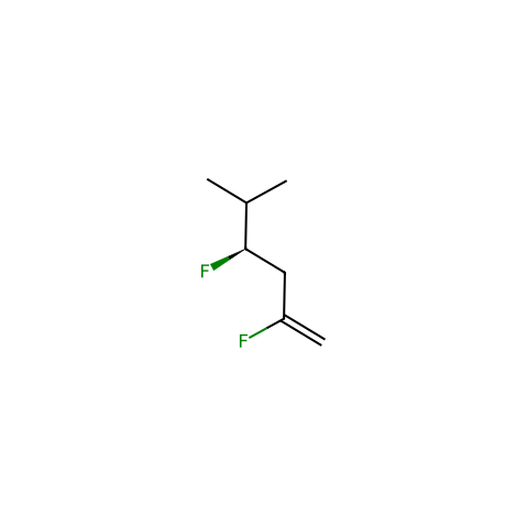 C=C(F)C[C@@H](F)C(C)C